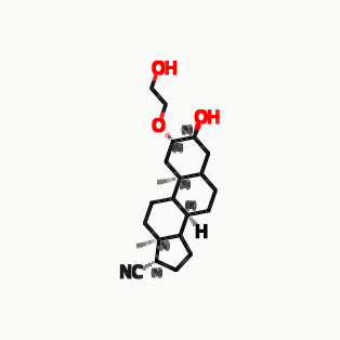 C[C@]12C[C@H](OCCO)[C@@H](O)CC1CC[C@@H]1C2CC[C@@]2(C)C1CC[C@@H]2C#N